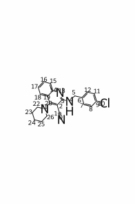 N#Cc1c(NCc2ccc(Cl)cc2)nc2ccccc2c1N1CCCCC1